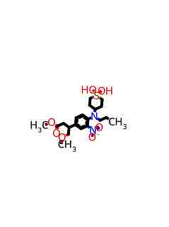 CCCN(c1ccc(C(COC)CC(=O)OC)cc1[N+](=O)[O-])C1CCS(O)(O)CC1